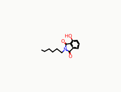 CCCCCCN1C(=O)c2cccc(O)c2C1=O